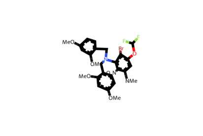 CNc1cc(OC(F)F)c(Br)c(N(Cc2ccc(OC)cc2OC)Cc2ccc(OC)cc2OC)c1[N+](=O)[O-]